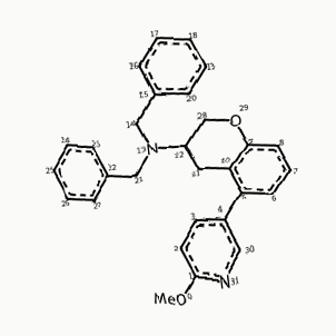 COc1ccc(-c2cccc3c2CC(N(Cc2ccccc2)Cc2ccccc2)CO3)cn1